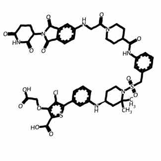 CC1(C)C[C@@H](Nc2cccc(-c3sc(C(=O)O)c(OCC(=O)O)c3Cl)c2)CCN1S(=O)(=O)Cc1cccc(NC(=O)C2CCN(C(=O)CNc3ccc4c(c3)C(=O)N(C3CCC(=O)NC3=O)C4=O)CC2)c1